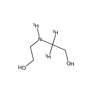 [2H]N(CCO)C([2H])([2H])CO